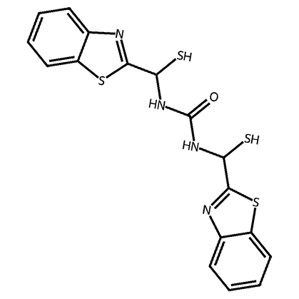 O=C(NC(S)c1nc2ccccc2s1)NC(S)c1nc2ccccc2s1